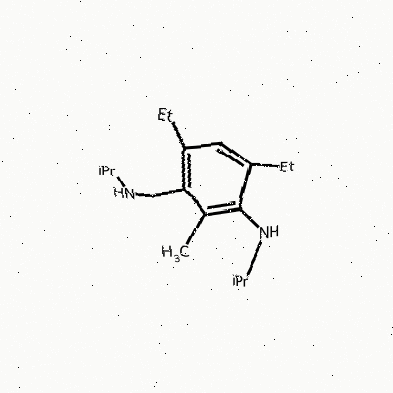 CCc1cc(CC)c(NC(C)C)c(C)c1NC(C)C